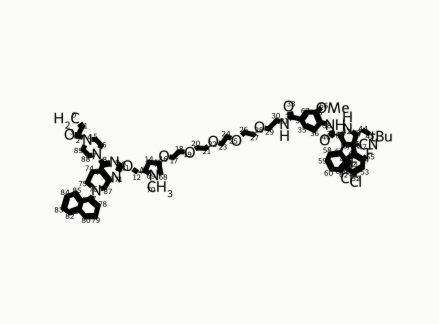 C=CC(=O)N1CCN(c2nc(OC[C@@H]3C[C@@H](OCCOCCOCCOCCOCCNC(=O)c4ccc(NC(=O)[C@@H]5N[C@@H](CC(C)(C)C)[C@](C#N)(c6ccc(Cl)cc6F)[C@H]5c5cccc(Cl)c5F)c(OC)c4)CN3C)nc3c2CCN(c2cccc4ccccc24)C3)CC1